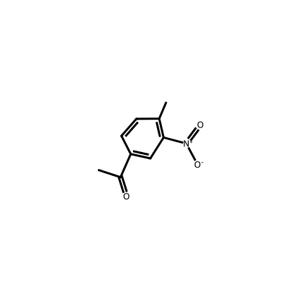 CC(=O)c1ccc(C)c([N+](=O)[O-])c1